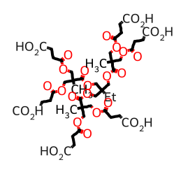 CCC(COC(=O)C(C)(COC(=O)CCC(=O)O)COC(=O)CCC(=O)O)(COC(=O)C(C)(COC(=O)CCC(=O)O)COC(=O)CCC(=O)O)COC(=O)C(C)(COC(=O)CCC(=O)O)COC(=O)CCC(=O)O